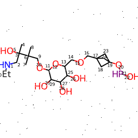 CCNCC(C)(O)C(C)(C)COC1OC(COCC23CC(OPO)(C2)C3)C(O)C(O)C1O